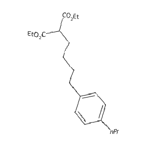 CCCc1ccc(CCCCC(C(=O)OCC)C(=O)OCC)cc1